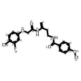 C=C(CCNC(=O)c1ccc(OCC)cc1)NC(=O)COc1ccc(Cl)c(F)c1